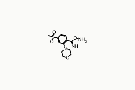 CS(=O)(=O)c1ccc(C(=N)ON)c(N2CCOCC2)c1